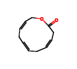 O=C1CC=CCC=CCC=CCO1